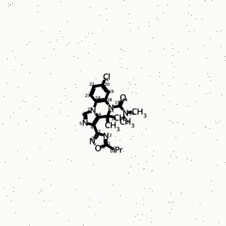 CC(C)c1nc(-c2ncn3c2C(C)(C)N(C(=O)N(C)C)c2cc(Cl)ccc2-3)no1